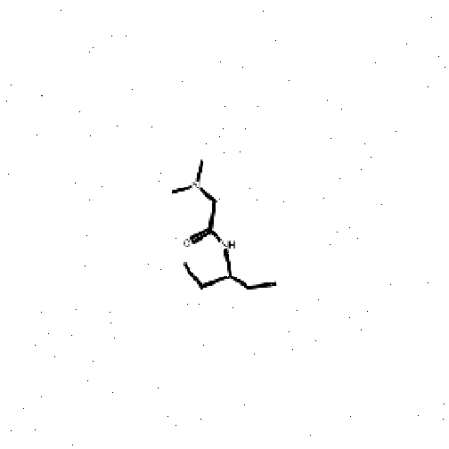 CCC(CC)NC(=O)CN(C)C